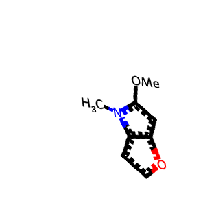 COc1cc2occc2n1C